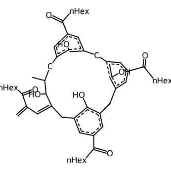 C=C(/C=C1/Cc2cc(C(=O)CCCCCC)cc(c2O)Cc2cc(C(=O)CCCCCC)cc(c2O)Cc2cc(C(=O)CCCCCC)cc(c2O)CC(C)C1O)C(=O)CCCCCC